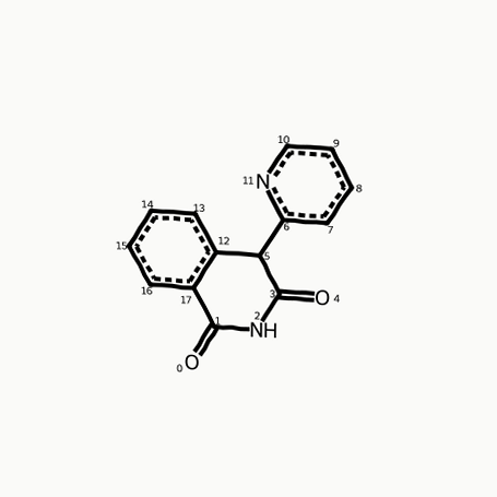 O=C1NC(=O)C(c2ccccn2)c2ccccc21